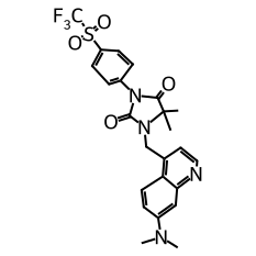 CN(C)c1ccc2c(CN3C(=O)N(c4ccc(S(=O)(=O)C(F)(F)F)cc4)C(=O)C3(C)C)ccnc2c1